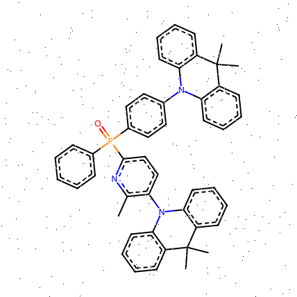 Cc1nc(P(=O)(c2ccccc2)c2ccc(N3c4ccccc4C(C)(C)c4ccccc43)cc2)ccc1N1c2ccccc2C(C)(C)c2ccccc21